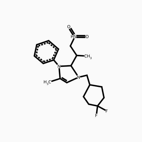 CC1=CN(CC2CCC(F)(F)CC2)C(C(C)C[SH](=O)=O)N1c1ccccc1